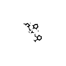 COc1cccc(OC)c1-n1c(SCc2ccccc2C(=O)O)nnc1-c1ccc(C)o1